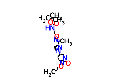 C=CCON1C(=O)N2CC(n3ccc(/C(C)=N/OCCNC(=O)OC(C)(C)C)n3)=CC1C2